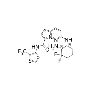 N[C@@H]1[C@H](Nc2ccc3ccc(C(=O)Nc4ccsc4C(F)(F)F)n3n2)CCCC1(F)F